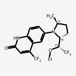 CCO[C@H]([C@H]1CC[C@H](C)N1c1ccc2[nH]c(=O)cc(C(F)(F)F)c2c1)C(F)(F)F